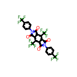 O=c1c2c(C(F)(F)F)c3c(=O)n(-c4ccc(C(F)(F)F)cc4)c(=O)c3c(C(F)(F)F)c2c(=O)n1-c1ccc(C(F)(F)F)cc1